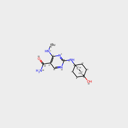 CC(C)(C)Nc1nc(NC23CCC(O)(CC2)CC3)ncc1C(N)=O